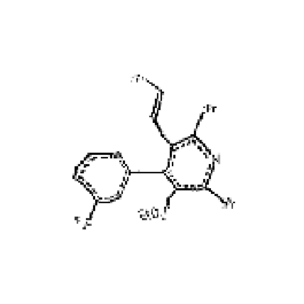 CCCC=Cc1c(C(C)C)nc(C(C)C)c(C(=O)OCC)c1-c1cccc(C(F)(F)F)c1